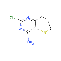 Nc1nc(Cl)nc2c1SCCC2